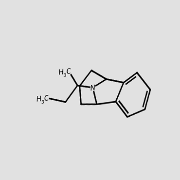 CCC(C)N1C2CCCC1c1ccccc12